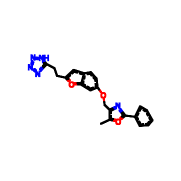 Cc1oc(-c2ccccc2)nc1COc1ccc2cc(CCc3nnn[nH]3)oc2c1